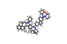 CC1(C)c2ccccc2N(c2ccc3c(ccc4cc(N5c6ccccc6Oc6ccccc65)ccc43)c2)c2cc3c(cc21)c1c2ccc4cccc5ccc(cc1n3-c1ccccc1)c2c54